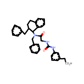 O=C(O)Cc1cccc(NC(=O)NCC(=O)N(Cc2ccccc2)C2c3ccccc3CCC2Cc2ccccc2)c1